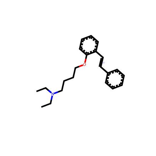 CCN(CC)CCCCOc1ccccc1/C=C/c1ccccc1